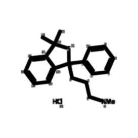 CNCCCC1(c2ccccc2)SC(C)(C)c2ccccc21.Cl